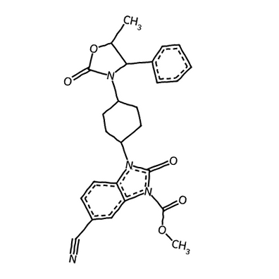 COC(=O)n1c(=O)n(C2CCC(N3C(=O)OC(C)C3c3ccccc3)CC2)c2ccc(C#N)cc21